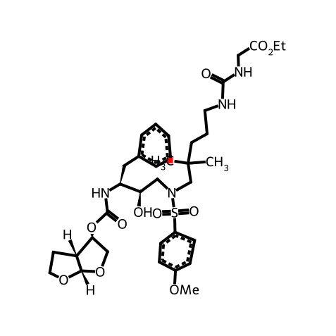 CCOC(=O)CNC(=O)NCCCC(C)(C)CN(C[C@@H](O)[C@H](Cc1ccccc1)NC(=O)O[C@@H]1CO[C@@H]2OCC[C@@H]21)S(=O)(=O)c1ccc(OC)cc1